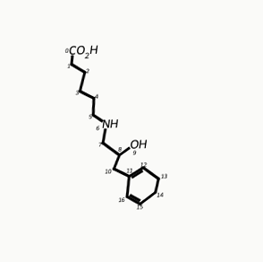 O=C(O)CCCCCNCC(O)CC1=CCCC=C1